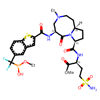 CCOP(O)C(F)(F)c1ccc2sc(C(=O)N[C@H]3CN(CC)CC[C@H]4CC[C@@H](C(=O)N[C@@H](CCS(N)(=O)=O)C(=O)OC)N4C3=O)cc2c1